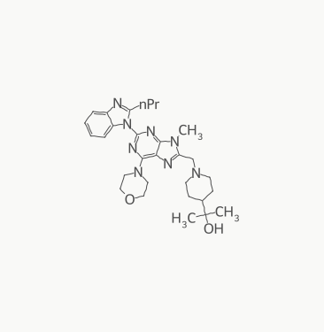 CCCc1nc2ccccc2n1-c1nc(N2CCOCC2)c2nc(CN3CCC(C(C)(C)O)CC3)n(C)c2n1